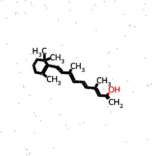 C=C(O)/C=C(C)/C=C/C=C(C)/C=C/C1=C(C)CCCC1(C)C